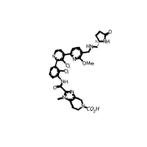 COc1nc(-c2ccnc(-c3cccc(NC(=O)c4nc5c(n4C)CCN(C(=O)O)C5)c3Cl)c2Cl)ccc1CNC[C@@H]1CCC(=O)N1